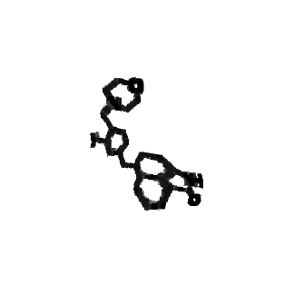 O=C1Nc2ccc(Cc3ccc(CN4CCOCC4)c(F)c3)c3cccc1c23